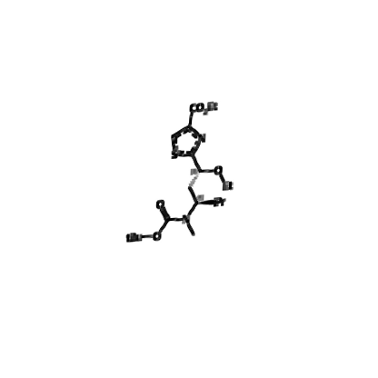 CCOC(=O)c1csc([C@@H](C[C@@H](C(C)C)N(C)C(=O)OC(C)(C)C)OCC)n1